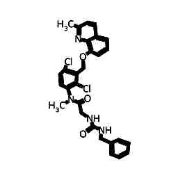 Cc1ccc2cccc(OCc3c(Cl)ccc(N(C)C(=O)CNC(=O)NCc4ccccc4)c3Cl)c2n1